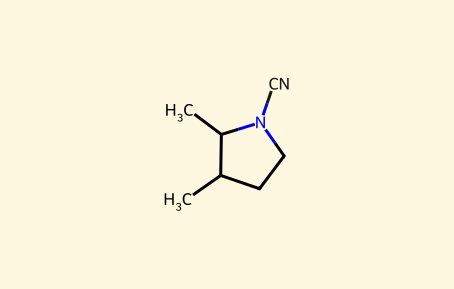 CC1CCN(C#N)C1C